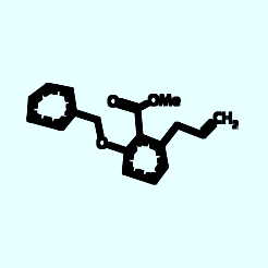 C=CCc1cccc(OCc2ccccc2)c1C(=O)OC